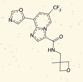 CC1(CNC(=O)c2cnc3c(-c4cnco4)cc(C(F)(F)F)cn23)COC1